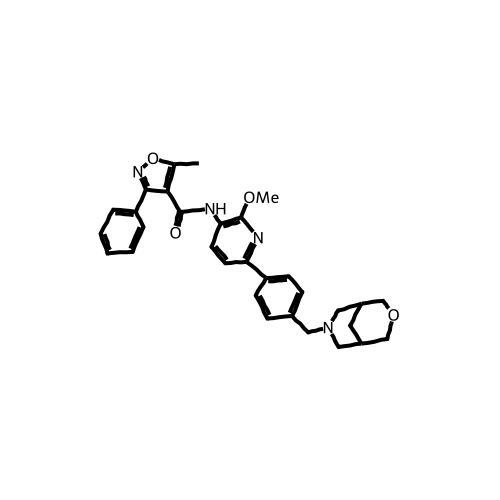 COc1nc(-c2ccc(CN3CC4COCC(C4)C3)cc2)ccc1NC(=O)c1c(-c2ccccc2)noc1C